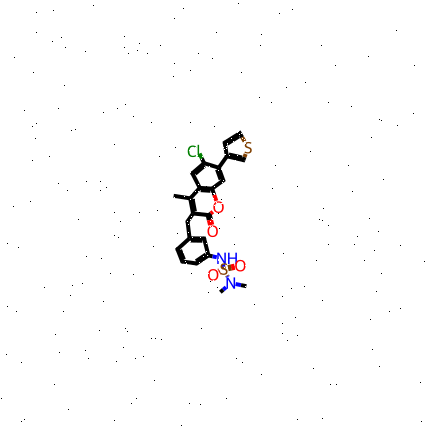 Cc1c(Cc2cccc(NS(=O)(=O)N(C)C)c2)c(=O)oc2cc(-c3ccsc3)c(Cl)cc12